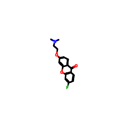 CN(C)CCOc1ccc2c(=O)c3ccc(F)cc3oc2c1